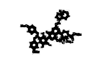 COc1ccc(CN(Cc2ccc(OC)cc2)c2cc(C)c(I)c(-c3nc4c5c(nc(OC[C@@H]6CC[C@H]7COCCN76)nc5c3F)N3CCN(C(=O)OC(C)(C)C)[C@@H](CI)[C@H]3[C@H](C)O4)c2F)cc1